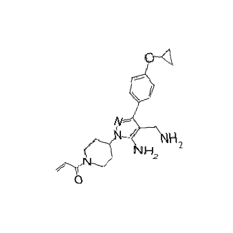 C=CC(=O)N1CCC(n2nc(-c3ccc(OC4CC4)cc3)c(CN)c2N)CC1